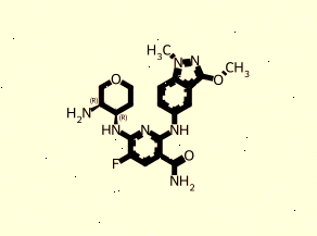 COc1nn(C)c2ccc(Nc3nc(N[C@@H]4CCOC[C@@H]4N)c(F)cc3C(N)=O)cc12